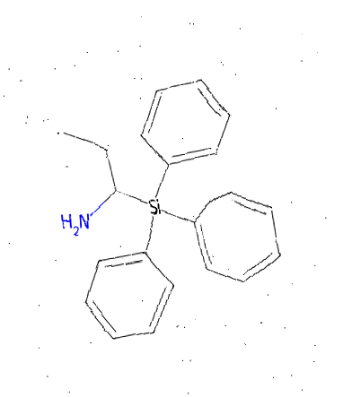 [CH2]CC(N)[Si](c1ccccc1)(c1ccccc1)c1ccccc1